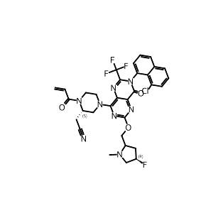 C=CC(=O)N1CCN(c2nc(OCC3C[C@@H](F)CN3C)nc3c(=O)n(-c4cccc5cccc(Cl)c45)c(C(F)(F)F)nc23)C[C@@H]1CC#N